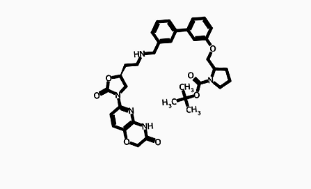 CC(C)(C)OC(=O)N1CCCC1COc1cccc(-c2cccc(CNCC[C@H]3CN(c4ccc5c(n4)NC(=O)CO5)C(=O)O3)c2)c1